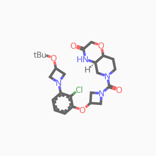 CC(C)(C)OC1CN(c2cccc(OC3CN(C(=O)N4CCC5OCC(=O)N[C@@H]5C4)C3)c2Cl)C1